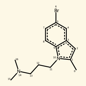 Cc1cc2cc(Br)ccc2n1CCCN(C)C